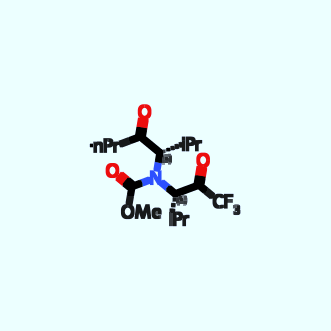 CC[CH]C(=O)[C@H](C(C)C)N(C(=O)OC)[C@H](C(=O)C(F)(F)F)C(C)C